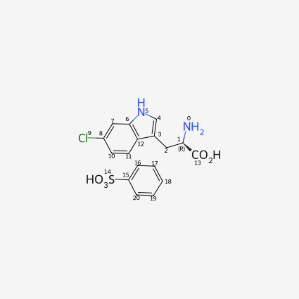 N[C@H](Cc1c[nH]c2cc(Cl)ccc12)C(=O)O.O=S(=O)(O)c1ccccc1